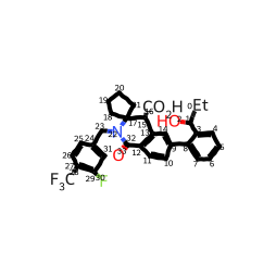 CCC(O)c1ccccc1-c1ccc2c(c1)C(C(=O)O)C1(CCCC1)N(Cc1ccc(C(F)(F)F)c(F)c1)C2=O